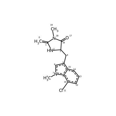 C=C1NC(Cc2cn(C)c3c(Cl)cccc23)C(=O)N1C